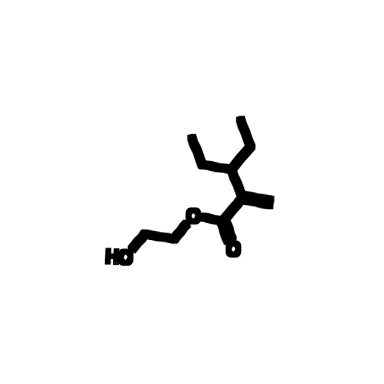 C=C(C(=O)OCCO)C(CC)CC